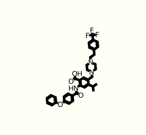 CC(C)c1cc(NC(=O)c2ccc(Oc3ccccc3)cc2)c(C(=O)O)cc1CN1CCN(CCc2ccc(C(F)(F)F)cc2)CC1